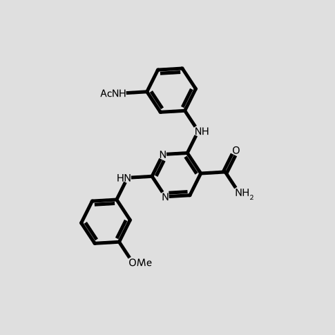 COc1cccc(Nc2ncc(C(N)=O)c(Nc3cccc(NC(C)=O)c3)n2)c1